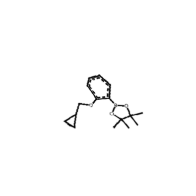 CC1(C)OB(c2ccccc2OCC2CC2)OC1(C)C